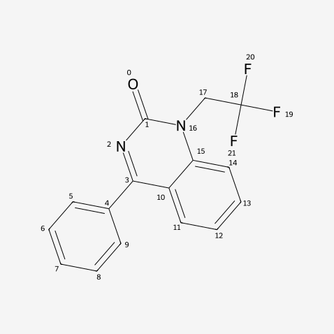 O=c1nc(-c2ccccc2)c2ccccc2n1CC(F)(F)F